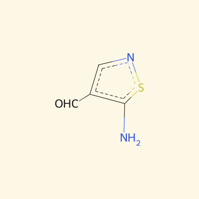 Nc1sncc1C=O